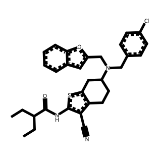 CCC(CC)C(=O)Nc1sc2c(c1C#N)CCC(N(Cc1ccc(Cl)cc1)Cc1cc3ccccc3o1)C2